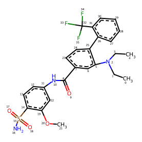 CCN(CC)c1cc(C(=O)Nc2ccc(S(N)(=O)=O)c(OC)c2)ccc1-c1ccccc1C(F)(F)F